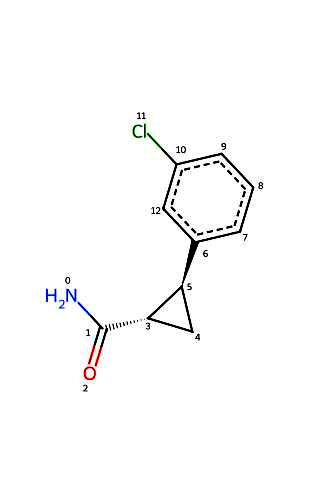 NC(=O)[C@H]1C[C@@H]1c1cccc(Cl)c1